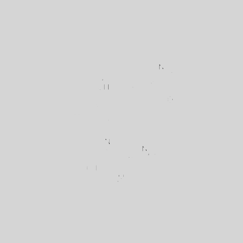 CCN(C(N)=O)[C@@H](CCC(N)=O)C(=O)O